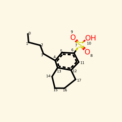 CCCCc1cc(S(=O)(=O)O)cc2c1CCCC2